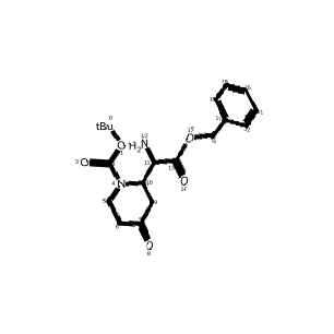 CC(C)(C)OC(=O)N1CCC(=O)CC1C(N)C(=O)OCc1ccccc1